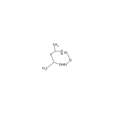 CC(O)SC(C)O.CCOCC